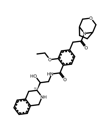 CCOc1cc(CC(=O)N2C3CCC2COC3)ccc1C(=O)NCC(O)[C@@H]1Cc2ccccc2CN1